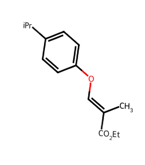 CCOC(=O)/C(C)=C/Oc1ccc(C(C)C)cc1